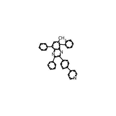 Cc1cc(-c2ccccc2)c2nc(-c3ccccc3)c(-c3ccc(-c4ccncc4)cc3)nc2c1-c1ccccc1